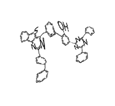 Oc1cc(-c2nc(-c3ccccc3)nc(-c3ccccc3)n2)ccc1-c1cccc(-c2nc(-c3ccc(-c4ccccc4)cc3)nc3c2sc2ccccc23)c1